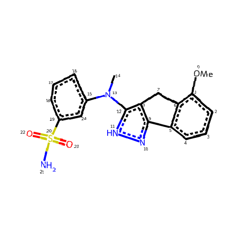 COc1cccc2c1Cc1c-2n[nH]c1N(C)c1cccc(S(N)(=O)=O)c1